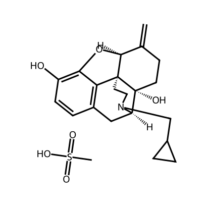 C=C1CC[C@@]2(O)[C@H]3Cc4ccc(O)c5c4[C@@]2(CCN3CC2CC2)[C@H]1O5.CS(=O)(=O)O